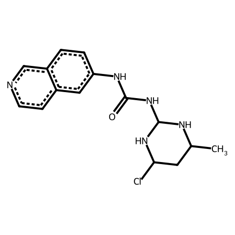 CC1CC(Cl)NC(NC(=O)Nc2ccc3cnccc3c2)N1